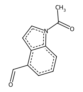 CC(=O)n1ccc2c(C=O)cccc21